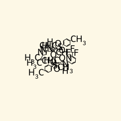 Cc1ccc(S(=O)(=O)C(C)(C)C(=O)Nc2cc(C(C)(C)C)nn2C)cc1.Cc1ccc(S(=O)(=O)C(C)(C)C(=O)Nc2cccc(C(F)(F)F)n2)cc1